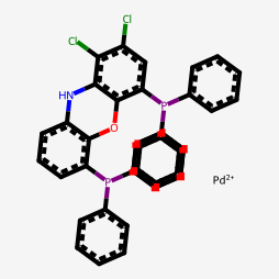 Clc1cc(P(c2ccccc2)c2ccccc2)c2c(c1Cl)Nc1cccc(P(c3ccccc3)c3ccccc3)c1O2.[Pd+2]